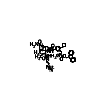 CC(C)[C@H](NC(=O)OCCN=[N+]=[N-])C(=O)N[C@@H](CCCNC(N)=O)C(=O)Nc1ccc(CCl)c(CN(C)C(=O)OCC2c3ccccc3-c3ccccc32)c1